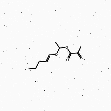 C=C(C)C(=O)OC(C)OC=CCCC